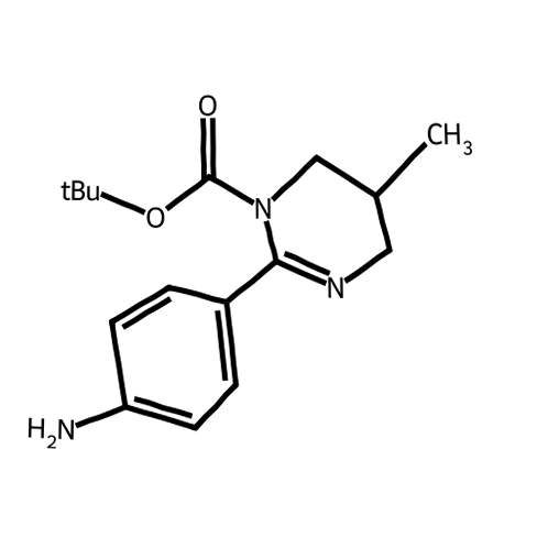 CC1CN=C(c2ccc(N)cc2)N(C(=O)OC(C)(C)C)C1